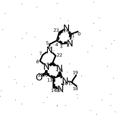 Cc1ncc(CN2CCn3c(nc4c(cnn4C(C)C)c3=O)C2)cn1